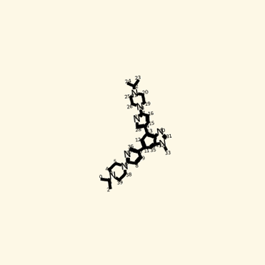 CC(C)N1CCN(c2ccc(-c3cc(-c4ccc(N5CCN(C(C)C)CC5)nc4)c4ncn(C)c4c3)cn2)CC1